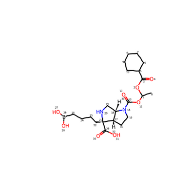 CC(OC(=O)C1CCCCC1)OC(=O)N1CC[C@H]2[C@@H]1CN[C@@]2(CCCCB(O)O)C(=O)O